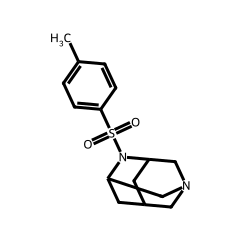 Cc1ccc(S(=O)(=O)N2C3CC4CC2CN(C4)C3)cc1